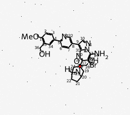 COc1ccc(-c2ccc(-c3cnn4c(N)c(Br)c(C5CC6CC[C@H](C5)N6C(=O)CO)nc34)cn2)cc1CO